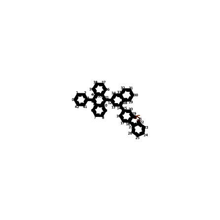 c1ccc(-c2c3ccccc3c(-c3cc(-c4ccc5c(c4)sc4ccccc45)c4ccccc4c3)c3ccccc23)cc1